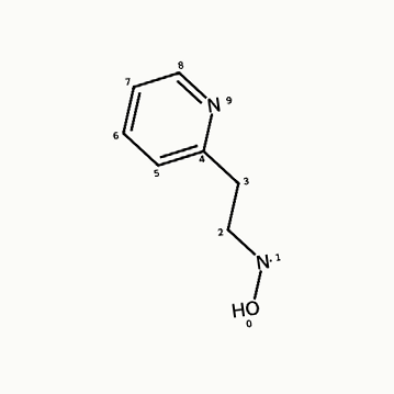 O[N]CCc1ccccn1